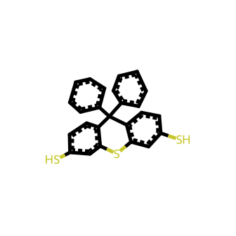 Sc1ccc2c(c1)Sc1cc(S)ccc1C2(c1ccccc1)c1ccccc1